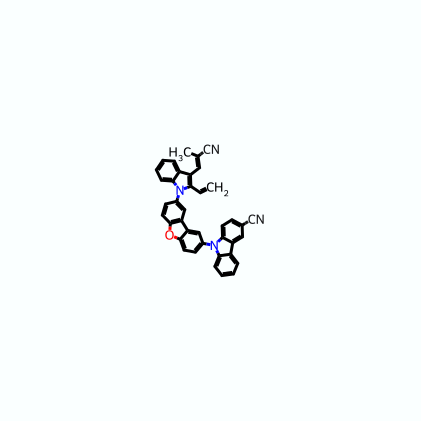 C=Cc1c(/C=C(\C)C#N)c2ccccc2n1-c1ccc2oc3ccc(-n4c5ccccc5c5cc(C#N)ccc54)cc3c2c1